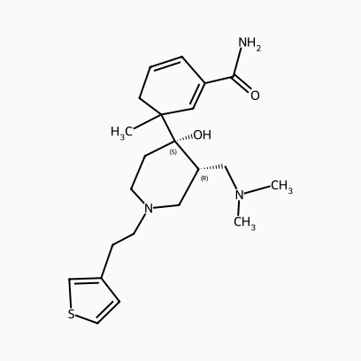 CN(C)C[C@@H]1CN(CCc2ccsc2)CC[C@@]1(O)C1(C)C=C(C(N)=O)C=CC1